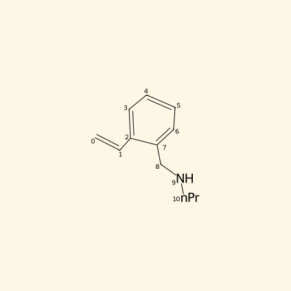 C=Cc1ccccc1CNCCC